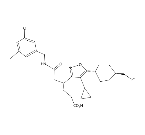 Cc1cc(Cl)cc(CNC(=O)CC(CCC(=O)O)c2noc([C@H]3CC[C@H](CC(C)C)CC3)c2C2CC2)c1